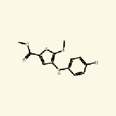 COC(=O)c1cc(Nc2ccc(Cl)cc2)c(SC)s1